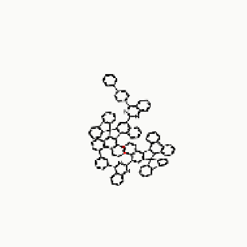 c1ccc(-c2ccc(-c3nc(-c4cc5c(c6ccccc46)-c4c(c6cccc(-c7cccc(-c8nc(-c9cc%10c(c%11ccccc9%11)-c9c(c%11ccccc%11c%11ccccc9%11)C%109c%10ccccc%10-c%10ccccc%109)nc9ccccc89)c7)c6c6ccccc46)C54c5ccccc5-c5ccccc54)nc4ccccc34)cc2)cc1